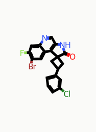 O=C1Nc2cnc3cc(F)c(Br)cc3c2C12CC(c1cccc(Cl)c1)C2